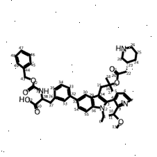 CCn1c(-c2cccnc2C(C)OC)c(CC(C)(C)OC(=O)C[C@H]2CCCNC2)c2cc(-c3cccc(CC(NC(=O)OCc4ccccc4)C(=O)O)c3)ccc21